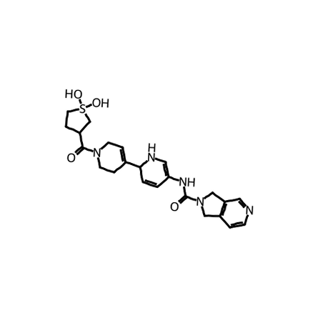 O=C(NC1=CNC(C2=CCN(C(=O)C3CCS(O)(O)C3)CC2)C=C1)N1Cc2ccncc2C1